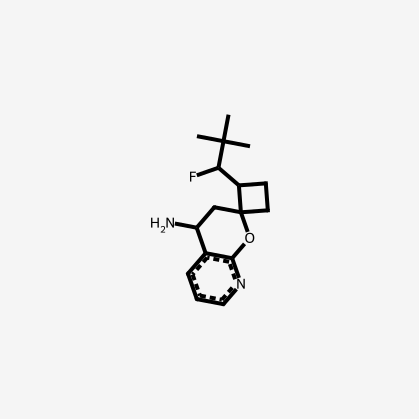 CC(C)(C)C(F)C1CCC12CC(N)c1cccnc1O2